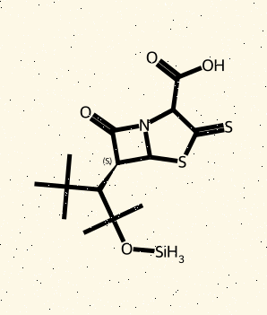 CC(C)(C)C([C@H]1C(=O)N2C(C(=O)O)C(=S)SC12)C(C)(C)O[SiH3]